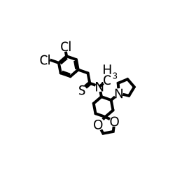 CN(C(=S)Cc1ccc(Cl)c(Cl)c1)C1CCC2(CC1N1CCCC1)OCCO2